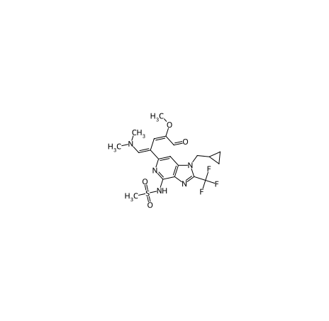 CO/C(C=O)=C/C(=C\N(C)C)c1cc2c(nc(C(F)(F)F)n2CC2CC2)c(NS(C)(=O)=O)n1